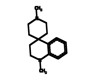 CN1CCC2(CC1)CCN(C)c1ccccc12